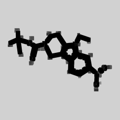 CCn1c2c(c3ccc([N+](=O)[O-])cc31)CN(C(=O)OC(C)(C)C)CC2